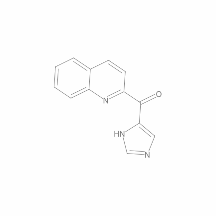 O=C(c1ccc2ccccc2n1)c1cnc[nH]1